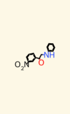 O=C(CNc1ccccc1)c1cccc([N+](=O)[O-])c1